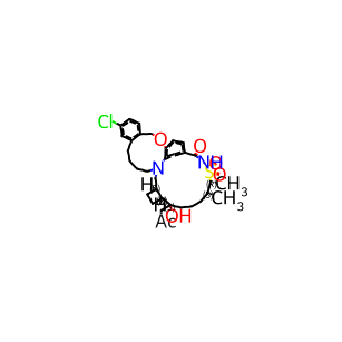 CC(=O)C[C@@]1(O)CCC[C@H](C)[C@@H](C)S(=O)(=O)NC(=O)c2ccc3c(c2)N(CCCCc2cc(Cl)ccc2CO3)C[C@@H]2CC[C@H]21